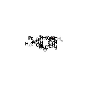 CCn1c(-c2cccnc2[C@H](C)OC)c2c3cc(ccc31)-c1csc(n1)C[C@H](NC(=O)[C@@H]1[C@H](C)[C@@H]1C(C)C)C(=O)N1CCC[C@H](N1)C(=O)OCC(C)(C)C2